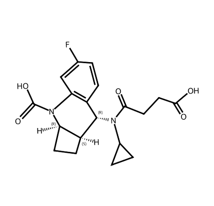 O=C(O)CCC(=O)N(C1CC1)[C@H]1c2ccc(F)cc2N(C(=O)O)[C@@H]2CC[C@@H]21